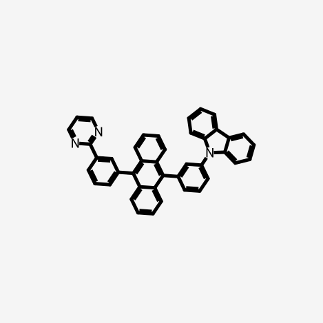 c1cnc(-c2cccc(-c3c4ccccc4c(-c4cccc(-n5c6ccccc6c6ccccc65)c4)c4ccccc34)c2)nc1